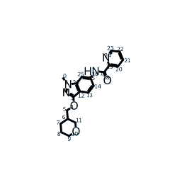 Cn1nc(OCC2CCCOC2)c2ccc(NC(=O)c3ccccn3)cc21